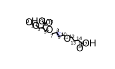 O=COCC(COC/C=C/COCCCC(=O)O)C(=O)O